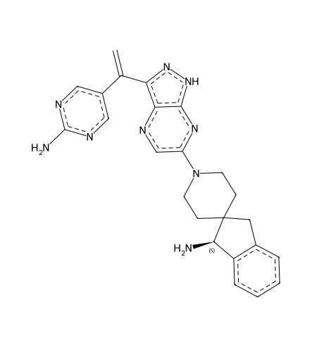 C=C(c1cnc(N)nc1)c1n[nH]c2nc(N3CCC4(CC3)Cc3ccccc3[C@H]4N)cnc12